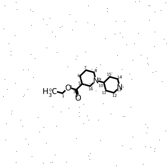 CCOC(=O)C1CCCN(C2CC[N]CC2)C1